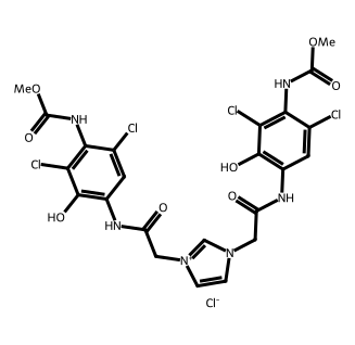 COC(=O)Nc1c(Cl)cc(NC(=O)Cn2cc[n+](CC(=O)Nc3cc(Cl)c(NC(=O)OC)c(Cl)c3O)c2)c(O)c1Cl.[Cl-]